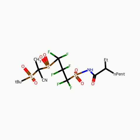 CCCCCC(CC)C(=O)NS(=O)(=O)C(F)(F)C(F)(F)C(F)(F)S(=O)(=O)C(C)(C#N)S(=O)(=O)C(C)(C)C